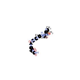 CCc1cc(Nc2ncc(Br)c(Nc3ccc4nc(C)ccc4c3P(C)(C)=O)n2)c(OC)cc1N1CCC(N2CCN(C(=O)C3CN(c4ccc5c(c4)C(=O)N(C4CCC(=O)NC4=O)C54CC4)C3)CC2)CC1